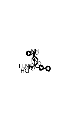 CC(C)(N)C(=O)N[C@H](Cc1ccc(-c2ccccc2)cc1)C(=O)N1CCC(n2c(=O)[nH]c3ccccc32)CC1.Cl